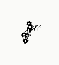 CNC1=C(C=N)C2(CCN(C(=O)c3cccnc3Oc3ccccc3)CC2)Oc2ccccc21